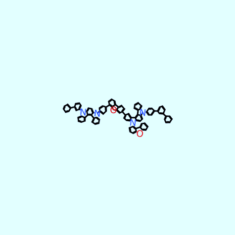 c1ccc(-c2cccc(-c3ccc(-n4c5ccccc5c5c6c7cc(-c8ccc9c(c8)oc8c(-c%10ccc(-n%11c%12ccccc%12c%12c%13c%14ccccc%14n(-c%14cccc(-c%15ccccc%15)c%14)c%13ccc%12%11)cc%10)cccc89)ccc7n(-c7cccc8oc9ccccc9c78)c6ccc54)cc3)c2)cc1